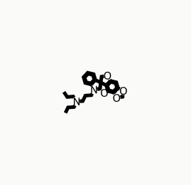 CCCN(CCC)CCCN1C(=O)C2(COc3cc4c(cc32)OCO4)c2ccccc21